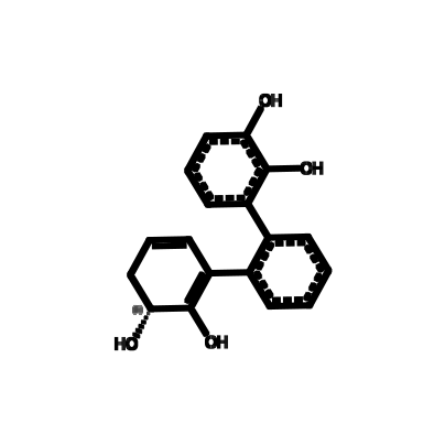 OC1=C(c2ccccc2-c2cccc(O)c2O)C=CC[C@H]1O